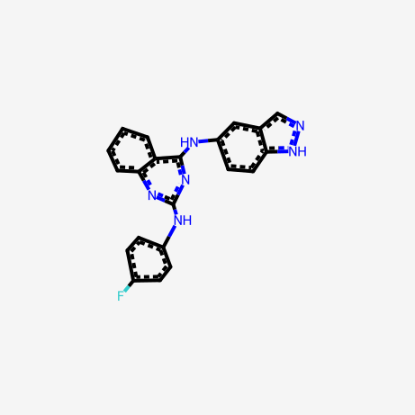 Fc1ccc(Nc2nc(Nc3ccc4[nH]ncc4c3)c3ccccc3n2)cc1